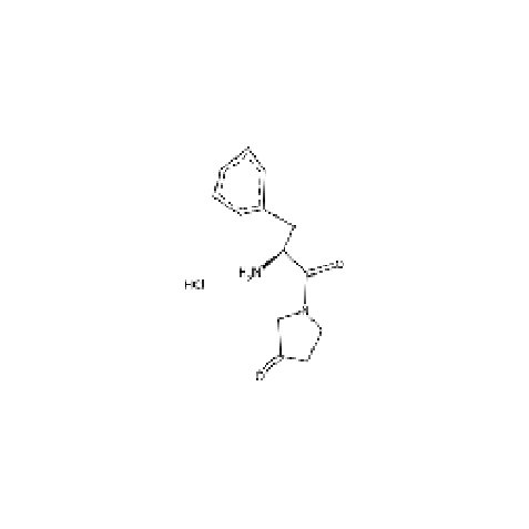 Cl.N[C@@H](Cc1ccccc1)C(=O)N1CCC(=O)C1